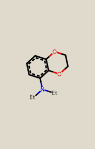 CCN(CC)c1cccc2c1OCCO2